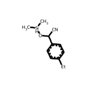 CCc1ccc(C(C#N)O[SiH](C)C)cc1